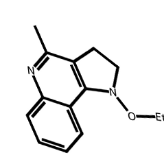 CCON1CCc2c(C)nc3ccccc3c21